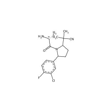 C[C@@H](N)C(=O)N1C(c2ccc(F)c(Cl)c2)CCC1C(C)(C)C#N